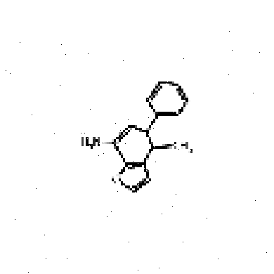 CC1c2ccoc2C(N)=CC1c1ccccc1